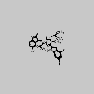 CC(C)C[C@@H](C(=O)N(C)[C@@H](CC1C(=O)Nc2ccc(Br)cc21)C(N)=O)N(C)C(=O)c1cc2c(F)cc(F)cc2[nH]1